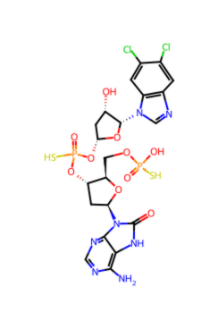 Nc1ncnc2c1[nH]c(=O)n2[C@H]1C[C@H](OP(=O)(S)O[C@@H]2C[C@H](O)[C@H](n3cnc4cc(Cl)c(Cl)cc43)O2)[C@@H](COP(=O)(O)S)O1